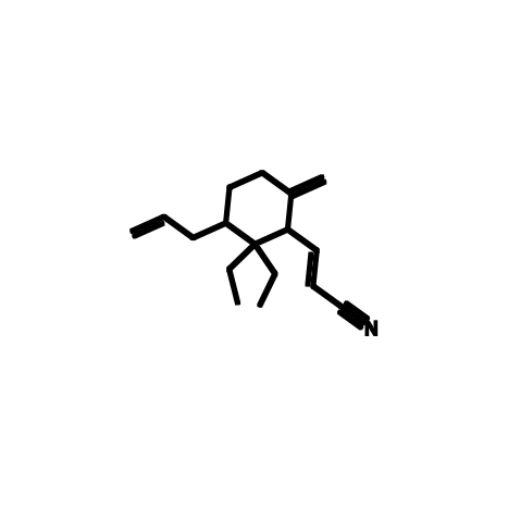 C=CCC1CCC(=C)C(C=CC#N)C1(CC)CC